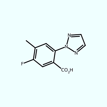 Cc1cc(-n2nccn2)c(C(=O)O)cc1F